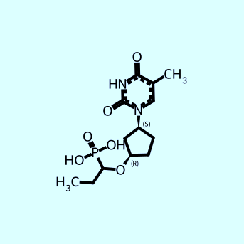 CCC(O[C@@H]1CC[C@H](n2cc(C)c(=O)[nH]c2=O)C1)P(=O)(O)O